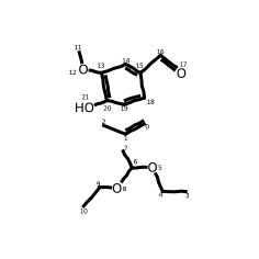 C=CC.CCOC(C)OCC.COc1cc(C=O)ccc1O